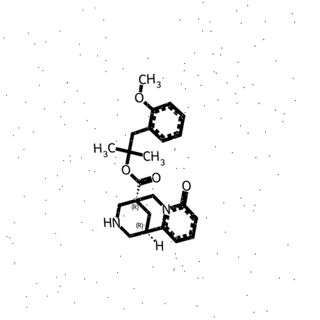 COc1ccccc1CC(C)(C)OC(=O)[C@@]12CNC[C@@H](C1)c1cccc(=O)n1C2